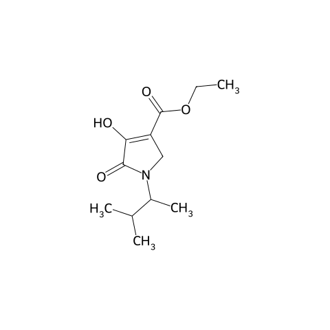 CCOC(=O)C1=C(O)C(=O)N(C(C)C(C)C)C1